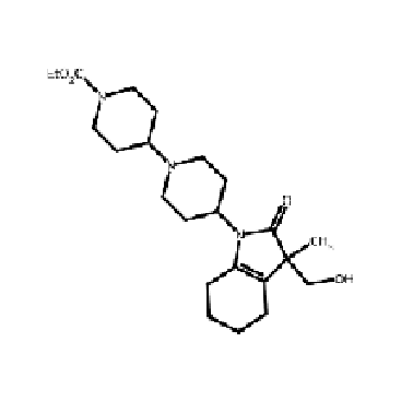 CCOC(=O)N1CCC(N2CCC(N3C(=O)C(C)(CO)C4=C3CCCC4)CC2)CC1